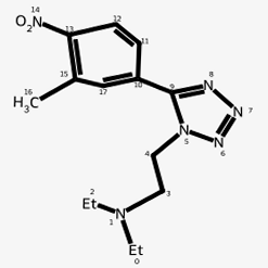 CCN(CC)CCn1nnnc1-c1ccc([N+](=O)[O-])c(C)c1